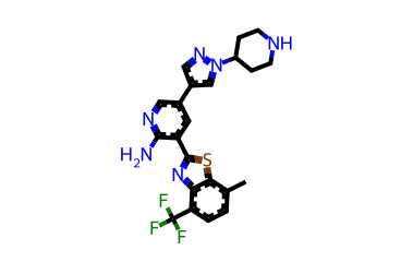 Cc1ccc(C(F)(F)F)c2nc(-c3cc(-c4cnn(C5CCNCC5)c4)cnc3N)sc12